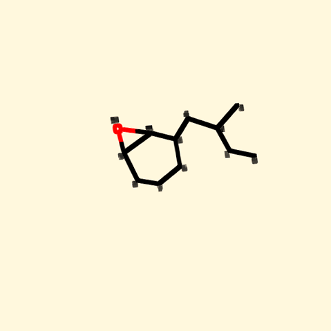 CCC(C)CC1CCCC2OC12